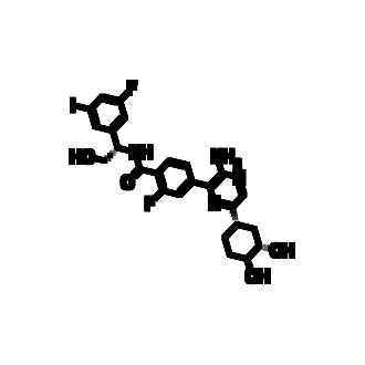 Nc1ncc([C@H]2CC[C@H](O)[C@@H](O)C2)nc1-c1ccc(C(=O)N[C@H](CO)c2cc(F)cc(I)c2)c(F)c1